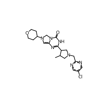 CC1CN(Cc2ncc(Cl)cn2)CC1C1=NC2=CN(C3CCOCC3)CN2C(=O)N1